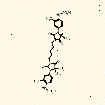 Cc1cc(N2C(=O)N(CCCCCN3C(=O)N(c4ccc(NC(=O)O)c(C)c4)C(C)(C)C3=O)C(=O)C2(C)C)ccc1NC(=O)O